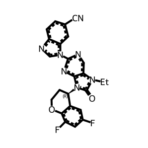 CCn1c(=O)n([C@@H]2CCOc3c(F)cc(F)cc32)c2nc(-n3cnc4ccc(C#N)cc43)ncc21